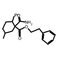 CC1CCC(C(C)C)C(C(N)=O)(C(=O)OCCc2ccccc2)C1